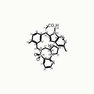 Cc1cc2cc([C@@H](CC(=O)O)c3ccc(C)c(CN4C[C@H]5CCCN5c5ncccc5S4(=O)=O)c3)n(C)c2nn1